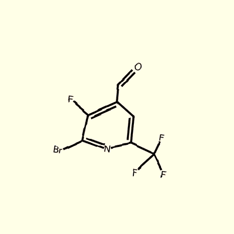 O=Cc1cc(C(F)(F)F)nc(Br)c1F